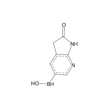 O=C1Cc2cc(BO)cnc2N1